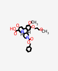 COCCCOc1cc2c(cc1OC)-c1cc(=O)c(C(=O)O)cn1[C@H]1CCN(C(=O)OCc3ccccc3)C[C@H]21